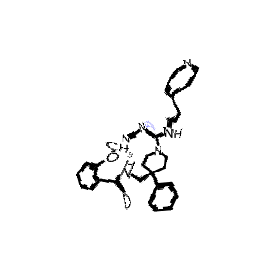 COc1ccccc1C(=O)NCC1(c2ccccc2)CCN(/C(=N\C#N)NCCc2ccncc2)CC1